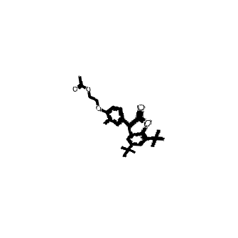 CC(=O)OCCOc1ccc(C2C(=O)Oc3c2cc(C(C)(C)C)cc3C(C)(C)C)cc1C